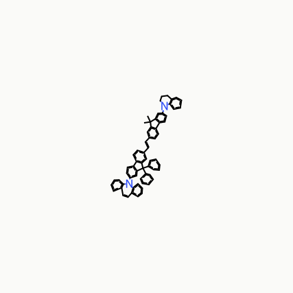 CC1(C)c2cc(/C=C/c3ccc4c(c3)C(c3ccccc3)(c3ccccc3)c3cc(N5c6ccccc6C=Cc6ccccc65)ccc3-4)ccc2-c2ccc(N3CCCc4ccccc43)cc21